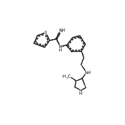 CC1CNCC1NCCc1cccc(NC(=N)c2cccs2)c1